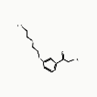 CCC(=O)c1cccc(OCCOCCO)c1